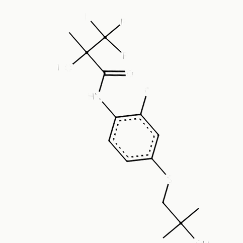 CC(C)(O)CSc1ccc(NC(=O)C(C)(O)C(F)(F)F)c(Cl)c1